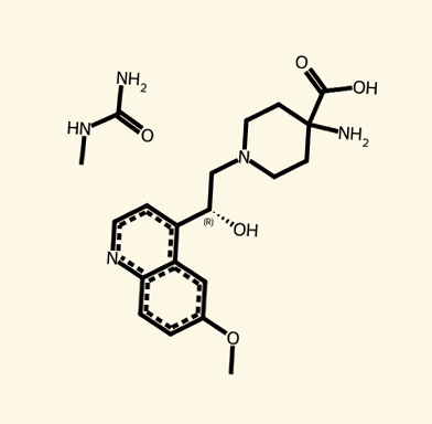 CNC(N)=O.COc1ccc2nccc([C@@H](O)CN3CCC(N)(C(=O)O)CC3)c2c1